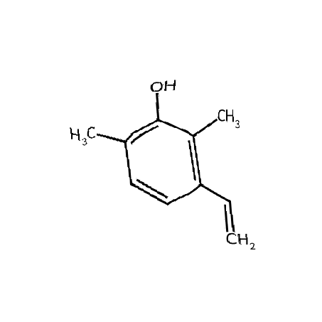 C=Cc1ccc(C)c(O)c1C